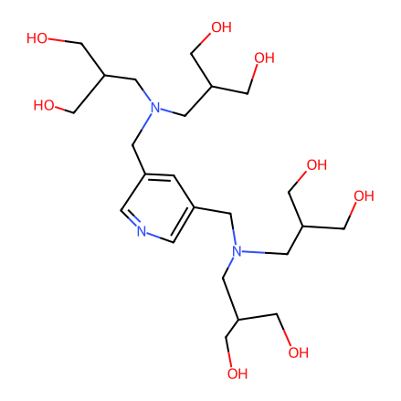 OCC(CO)CN(Cc1cncc(CN(CC(CO)CO)CC(CO)CO)c1)CC(CO)CO